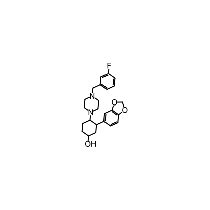 OC1CCC(N2CCN(Cc3cccc(F)c3)CC2)C(c2ccc3c(c2)OCO3)C1